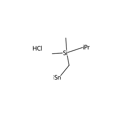 CC(C)[Si](C)(C)[CH2][Sn].Cl